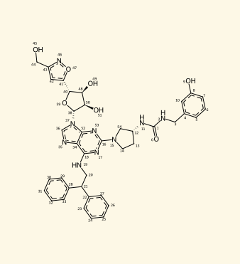 O=C(NCc1cccc(O)c1)N[C@@H]1CCN(c2nc(NCC(c3ccccc3)c3ccccc3)c3ncn([C@@H]4O[C@H](c5cc(CO)no5)[C@@H](O)[C@H]4O)c3n2)C1